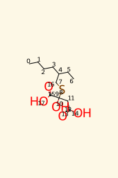 CCCCC(CC)CSC(O)(CC(=O)O)C(=O)O